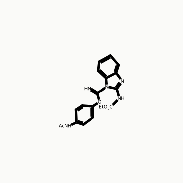 CCOC(=O)Nc1nc2ccccc2n1C(=N)Oc1ccc(NC(C)=O)cc1